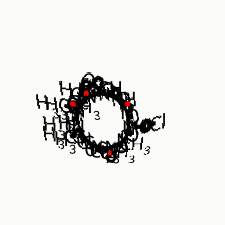 CC[C@H](C)[C@@H]1NC(=O)[C@H](CC(C)C)N(C)C(=O)C[C@@H](C(=O)N2C3CCC2COC3)N(C)C(=O)[C@H](C2CCCCC2)N(C)C(=O)C2(CCCC2)NC(=O)[C@@H]2CCCN2C(=O)[C@H](CCc2ccc(Cl)cc2)NC(=O)CN(C)C(=O)[C@H](CC2CCCCC2)N(C)C(=O)CN(C)C(=O)CN(C)C1=O